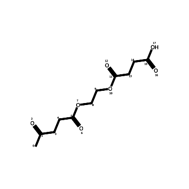 CC(=O)CCC(=O)OCCOC(=O)CCC(=O)O